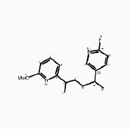 COc1cccc(C(C)CCC(C)c2ccc(F)nc2)n1